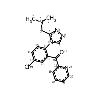 CN(C)Cc1nncn1-c1ccc(Cl)cc1C(=O)c1ccccn1